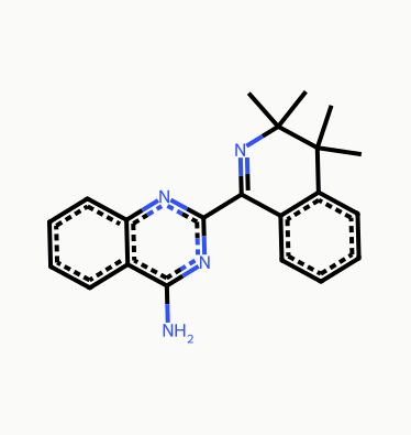 CC1(C)N=C(c2nc(N)c3ccccc3n2)c2ccccc2C1(C)C